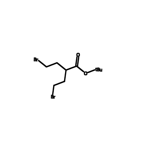 CC(C)(C)OC(=O)C(CCBr)CCBr